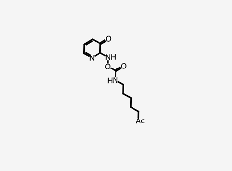 CC(=O)CCCCCNC(=O)ONC1N=CC=CC1=O